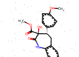 COC(=O)[C@@]1(O)C(=O)Nc2ccccc2C[C@H]1c1ccc(OC)cc1